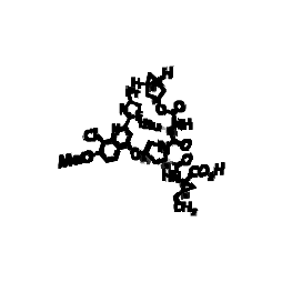 C=C[C@@H]1C[C@]1(NC(=O)[C@@H]1C[C@@H](Oc2cc(C3=NC(C(C)C)CS3)nc3c(Cl)c(OC)ccc23)CN1C(=O)[C@@H](NC(=O)O[C@@H]1C[C@@H]2C[C@@H]2C1)C(C)(C)C)C(=O)O